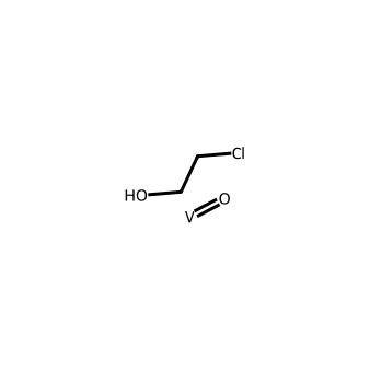 OCCCl.[O]=[V]